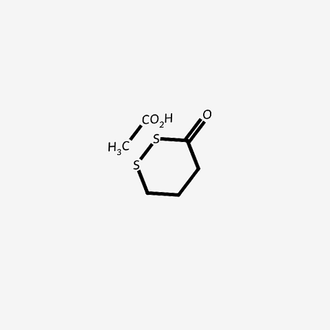 CC(=O)O.O=C1CCCSS1